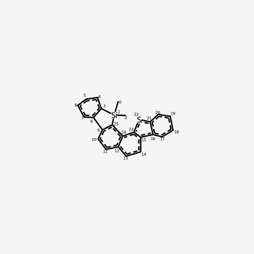 C[Si]1(C)c2ccccc2-c2ccc3ccc4c5ccccc5sc4c3c21